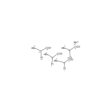 CCCCC(CC)C(=O)[O-].CCCCC(CC)C(=O)[O-].CCCCC(CC)C(=O)[O-].CCCCC(CC)C(=O)[O-].[Pb+4]